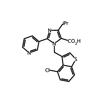 CC(C)c1nc(-c2cccnc2)n(Cc2csc3cccc(Cl)c23)c1C(=O)O